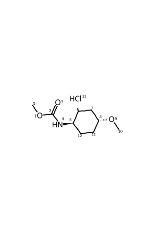 COC(=O)N[C@H]1CC[C@H](OC)CC1.Cl